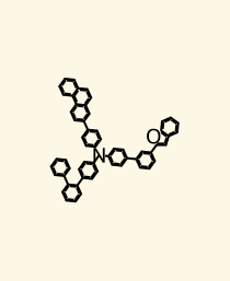 c1ccc(-c2ccccc2-c2ccc(N(c3ccc(-c4cccc(-c5cc6ccccc6o5)c4)cc3)c3ccc(-c4ccc5c(ccc6ccccc65)c4)cc3)cc2)cc1